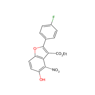 CCOC(=O)c1c(-c2ccc(F)cc2)oc2ccc(O)c([N+](=O)[O-])c12